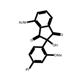 COc1cc(C(C)C)ccc1C1(O)C(=O)c2cccc(NC(C)=O)c2C1=O